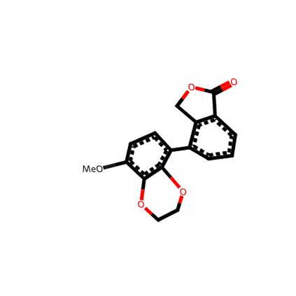 COc1ccc(-c2cccc3c2COC3=O)c2c1OCCO2